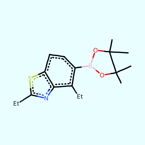 CCc1nc2c(CC)c(B3OC(C)(C)C(C)(C)O3)ccc2s1